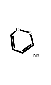 C1=COSC=C1.[Na]